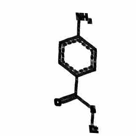 CCSC(=O)c1ccc(N)cc1